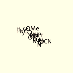 COC(C)(C)[C@H]1CC[C@H](NC(=O)c2cnc(-c3cnc4cc(C#N)cnn34)cc2NC(C)C)CC1